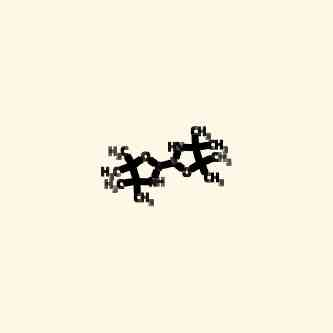 CC1(C)NB(B2NC(C)(C)C(C)(C)O2)OC1(C)C